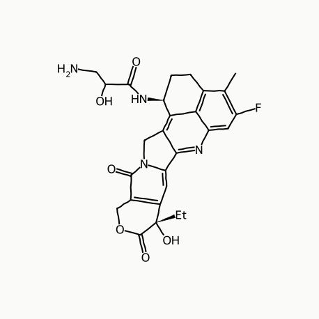 CC[C@@]1(O)C(=O)OCc2c1cc1n(c2=O)Cc2c-1nc1cc(F)c(C)c3c1c2[C@@H](NC(=O)C(O)CN)CC3